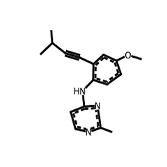 COc1ccc(Nc2ccnc(C)n2)c(C#CC(C)C)c1